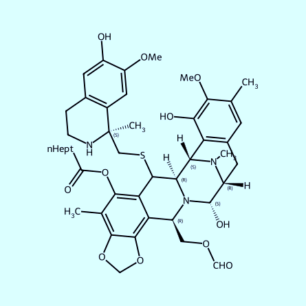 CCCCCCCC(=O)Oc1c(C)c2c(c3c1C(SC[C@@]1(C)NCCc4cc(O)c(OC)cc41)[C@H]1[C@@H]4c5c(cc(C)c(OC)c5O)C[C@H]([C@H](O)N1[C@H]3COC=O)N4C)OCO2